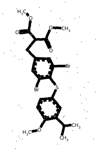 COC(=O)C(Cc1cc(Br)c(Sc2ccc(OC)c(C(C)C)c2)c(Br)c1)C(=O)OC